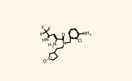 N=C(/C=C(\N)C(=O)N(CCC1CC[S+]([O-])C1)Cc1cccc(N)c1Cl)C(F)(F)F